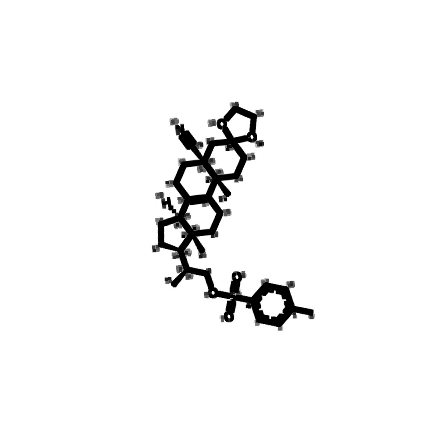 Cc1ccc(S(=O)(=O)OC[C@@H](C)[C@H]2CC[C@H]3C4=C(CC[C@]23C)[C@@]2(C)CCC3(C[C@@]2(C#N)CC4)OCCO3)cc1